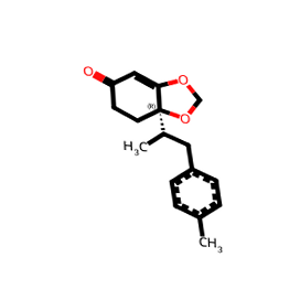 Cc1ccc(CC(C)[C@]23CCC(=O)C=C2OCO3)cc1